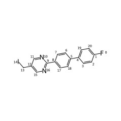 Fc1ccc(-c2ccc(-c3ncc(CI)cn3)cc2)cc1